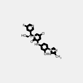 COc1cc(Nc2cc(Cl)cn([C@@H](CO)c3cncc(F)c3)c2=O)ccc1-n1cnc(C)c1